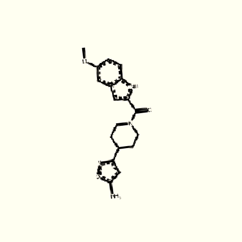 COc1ccc2[nH]c(C(=O)N3CCC(c4cc(N)on4)CC3)cc2c1